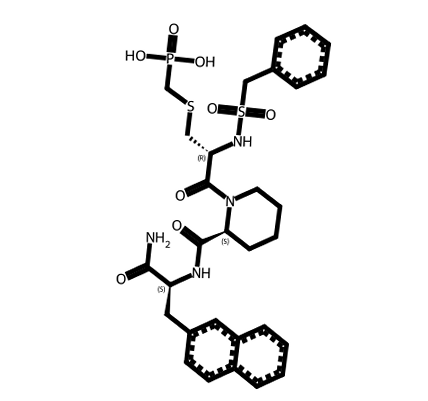 NC(=O)[C@H](Cc1ccc2ccccc2c1)NC(=O)[C@@H]1CCCCN1C(=O)[C@H](CSCP(=O)(O)O)NS(=O)(=O)Cc1ccccc1